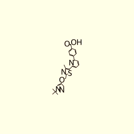 Cc1nc(COc2cnn(C(C)(C)C)c2)sc1-c1cccc(-c2ccc(C(=O)O)cc2)n1